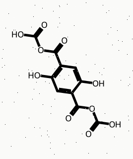 O=C(O)OC(=O)c1cc(O)c(C(=O)OC(=O)O)cc1O